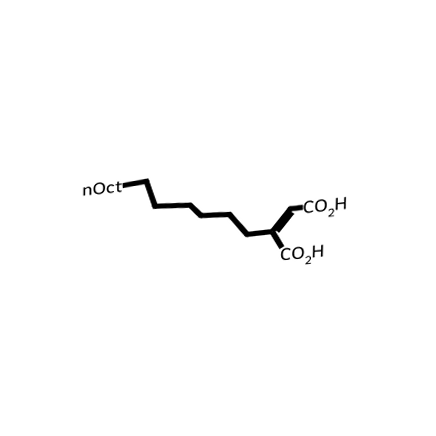 CCCCCCCCCCCCCCC(=CC(=O)O)C(=O)O